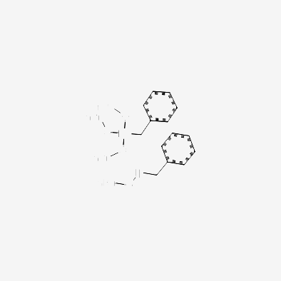 CCCC[O][Hf][CH2]c1ccccc1.CCC[O][Hf]([CH2]c1ccccc1)([O]CCC)[O]CCC